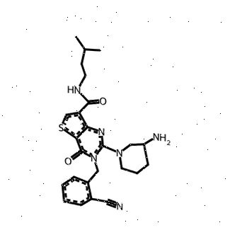 CC(C)CCNC(=O)c1csc2c(=O)n(Cc3ccccc3C#N)c(N3CCCC(N)C3)nc12